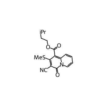 CSc1c(C#N)c(=O)n2ccccc2c1C(=O)OCCC(C)C